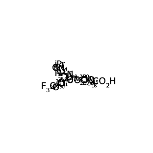 CC(C)Oc1ncc(-c2nc(COc3ccc(OC(C)(C)C(=O)O)cc3)oc2-c2ccc(OC(F)(F)F)cc2)cn1